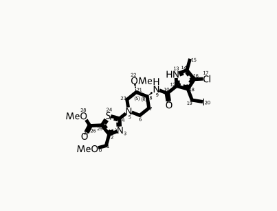 COCc1nc(N2CC[C@@H](NC(=O)c3[nH]c(C)c(Cl)c3CI)[C@@H](OC)C2)sc1C(=O)OC